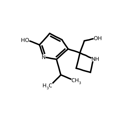 CC(C)c1nc(O)ccc1C1(CO)CCN1